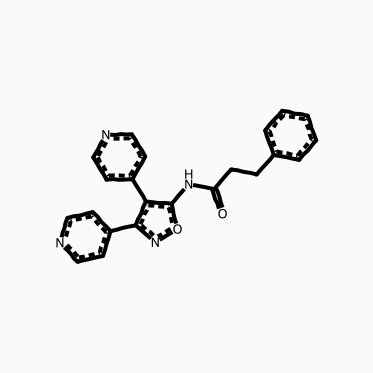 O=C(CCc1ccccc1)Nc1onc(-c2ccncc2)c1-c1ccncc1